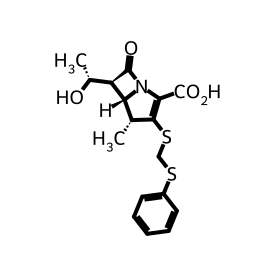 C[C@@H](O)[C@H]1C(=O)N2C(C(=O)O)=C(SCSc3ccccc3)[C@H](C)[C@H]12